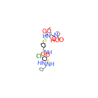 CCOC(=O)C(CSCc1ccc(CNS(=O)(=O)c2cc3c(cc2Cl)NC(CC2CCCC2)NS3)cc1)N[C@@H](C)C(=O)N1CCC[C@H]1C(=O)O